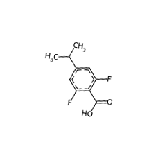 CC(C)c1cc(F)c(C(=O)O)c(F)c1